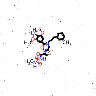 CNS(=O)(=O)NC(=O)c1csc(CN(CCCc2cccc(C)c2)C(=O)c2cc(OC)c(C)c(OC)c2)n1